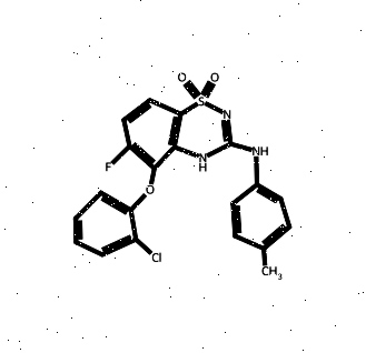 Cc1ccc(NC2=NS(=O)(=O)c3ccc(F)c(Oc4ccccc4Cl)c3N2)cc1